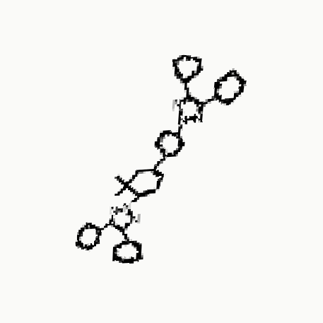 CC1(C)CC(c2ccc(-n3nc(-c4ccccc4)c(-c4ccccc4)n3)cc2)=CC=C1n1nc(-c2ccccc2)c(-c2ccccc2)n1